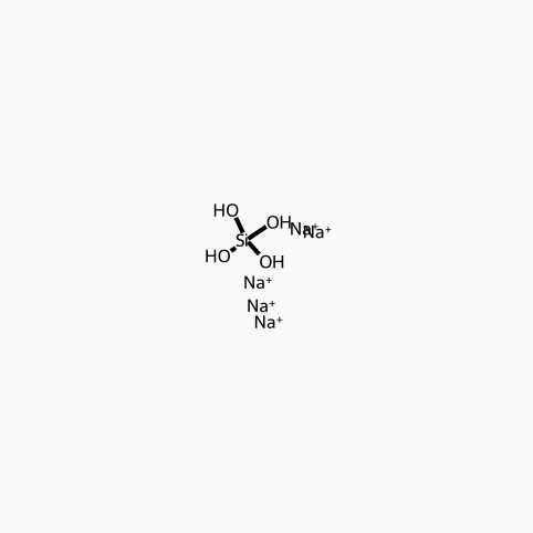 O[Si](O)(O)O.[Na+].[Na+].[Na+].[Na+].[Na+]